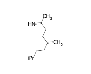 C=C(CCC(C)=N)CCC(C)C